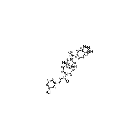 O=C(C=Cc1cccc(Cl)c1)N1CC[C@@H]2CN(C(=O)c3ccc4[nH]nnc4c3)C[C@@H]2CC1